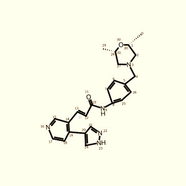 C[C@@H]1CN(Cc2ccc(NC(=O)/C=C/c3cnccc3-c3cn[nH]c3)cc2)C[C@H](C)O1